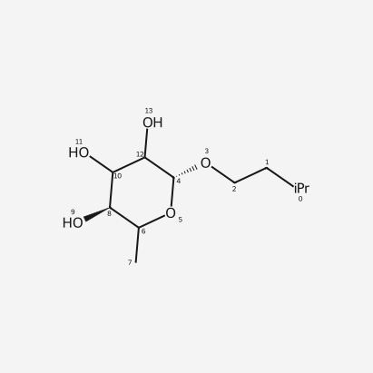 CC(C)CCO[C@@H]1OC(C)[C@@H](O)C(O)C1O